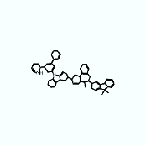 CC1C2C=CC(C3CC=C4C(C3)C3=C(CCCC3)N4C3=CC(C4C=CCCC4)=CC(C4C=CC=CN4)C3)CC2C2=C(C=CCC2)CC1C1C=C2C(=CC1)C(C)(C)C1C=CC=CC21